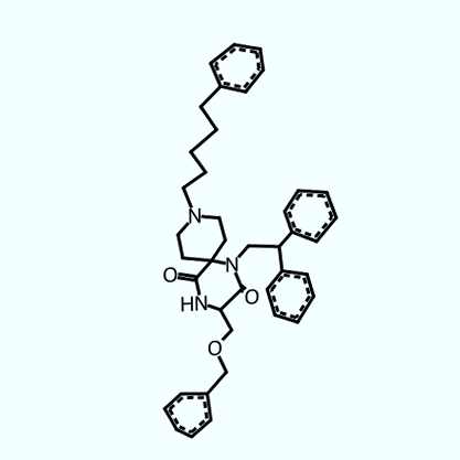 O=C1C(COCc2ccccc2)NC(=O)C2(CCN(CCCCCc3ccccc3)CC2)N1CC(c1ccccc1)c1ccccc1